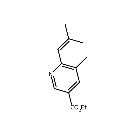 CCOC(=O)c1cnc(C=C(C)C)c(C)c1